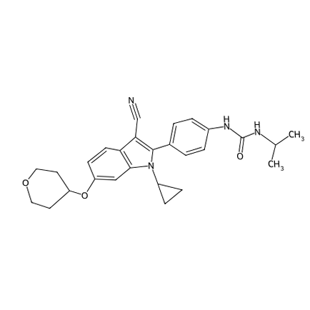 CC(C)NC(=O)Nc1ccc(-c2c(C#N)c3ccc(OC4CCOCC4)cc3n2C2CC2)cc1